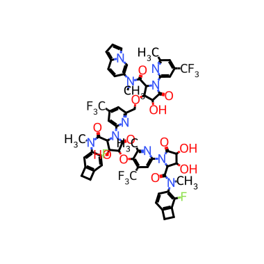 Cc1cc(C(F)(F)F)cc(N2C(=O)C(O)C(OCc3cc(C(F)(F)F)cc(N4C(=O)C(Oc5c(C(F)(F)F)cc(N6C(=O)C(O)C(O)C6C(=O)N(C)c6ccc7c(c6F)CC7)nc5C)C(O)C4C(=O)N(C)c4cc5c(cc4F)CC5)n3)C2C(=O)N(C)c2ccc3cccn3c2)n1